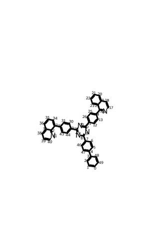 c1ccc(-c2ccc(-c3nc(-c4ccc(-c5nccc6ccccc56)cc4)nc(-c4ccc(-c5cccc6cccnc56)cc4)n3)cc2)cc1